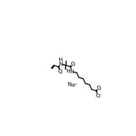 C=CC(=O)NC(C)(C)C(=O)NCCCCCCC(=O)[O-].[Na+]